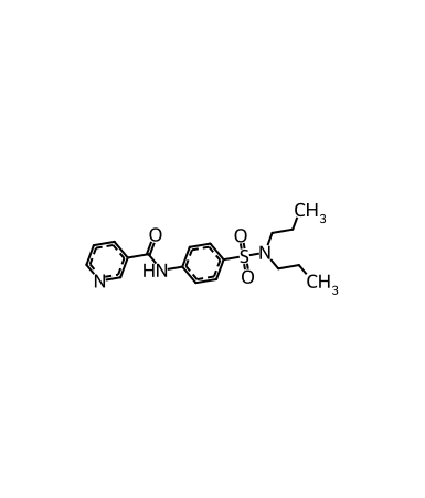 CCCN(CCC)S(=O)(=O)c1ccc(NC(=O)c2cccnc2)cc1